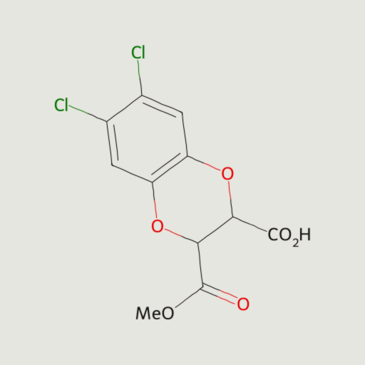 COC(=O)C1Oc2cc(Cl)c(Cl)cc2OC1C(=O)O